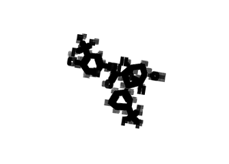 O=C(Nc1cc(C(F)(F)F)c(Cl)cn1)[C@@H]1[C@@H](c2cccc(C(F)(F)F)c2)[C@H]2O[C@@H]1C[C@@H]2O